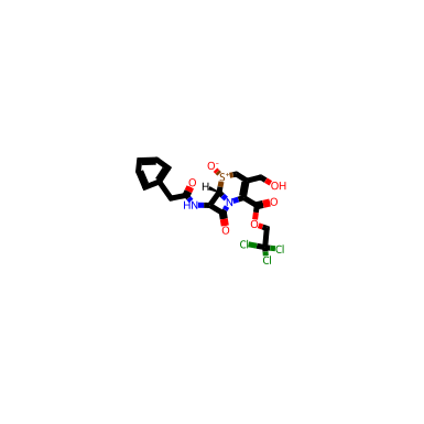 O=C(Cc1ccccc1)NC1C(=O)N2C(C(=O)OCC(Cl)(Cl)Cl)=C(CO)C[S+]([O-])[C@@H]12